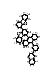 c1cc(-c2ccc3ccccc3c2)cc(-c2c3ccccc3c(-c3ccc(-c4cccc5c4oc4ccccc45)c4oc5ccccc5c34)c3ccccc23)c1